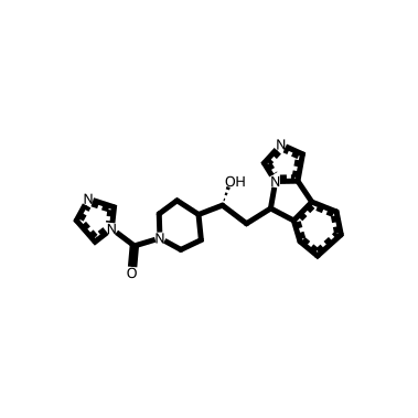 O=C(N1CCC([C@H](O)CC2c3ccccc3-c3cncn32)CC1)n1ccnc1